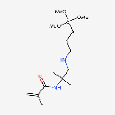 C=C(C)C(=O)NC(C)(C)CNCCC[Si](OC)(OC)OC